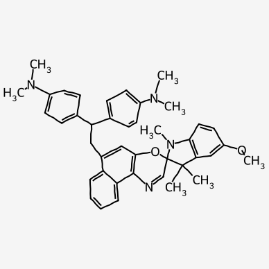 COc1ccc2c(c1)C(C)(C)C1(C=Nc3c(cc(CC(c4ccc(N(C)C)cc4)c4ccc(N(C)C)cc4)c4ccccc34)O1)N2C